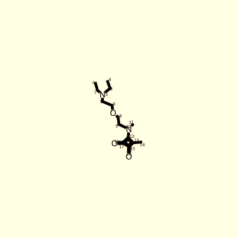 CCN(CC)CCOCCN(C)c1c(C)c(=O)c1=O